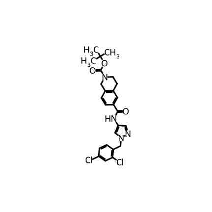 CC(C)(C)OC(=O)N1CCc2cc(C(=O)Nc3cnn(Cc4ccc(Cl)cc4Cl)c3)ccc2C1